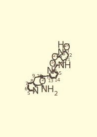 NC(=O)c1ncccc1CC#Cc1cccc(C(=O)NC2CCC(=O)NC2=O)n1